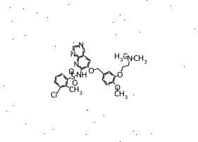 COc1ccc(COc2cc3cncnc3nc2NS(=O)(=O)c2cccc(Cl)c2C)cc1OCCN(C)C